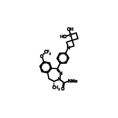 CNC(=O)N1N=C(c2ccc(N3CC4(CCS4(O)O)C3)cc2)c2cc(OC(F)(F)F)ccc2C[C@H]1C